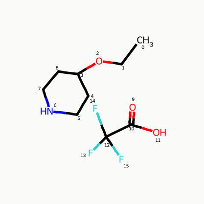 CCOC1CCNCC1.O=C(O)C(F)(F)F